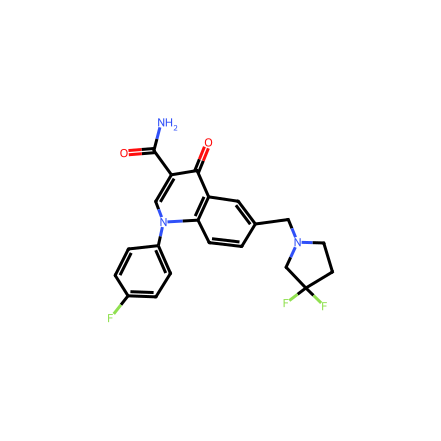 NC(=O)c1cn(-c2ccc(F)cc2)c2ccc(CN3CCC(F)(F)C3)cc2c1=O